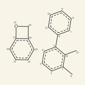 Cc1cccc(-c2ccccc2)c1C.c1ccc2c(c1)CO2